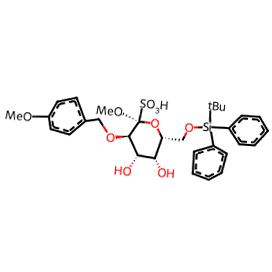 COc1ccc(CO[C@@H]2[C@@H](O)[C@@H](O)[C@@H](CO[Si](c3ccccc3)(c3ccccc3)C(C)(C)C)O[C@]2(OC)S(=O)(=O)O)cc1